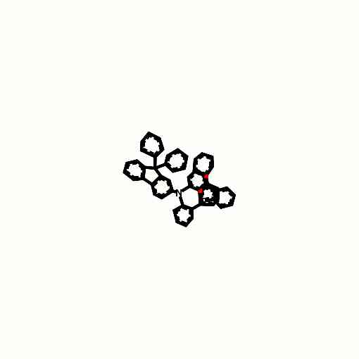 c1ccc(-c2cccc(-c3ccccc3N(c3ccc4c(c3)C(c3ccccc3)(c3ccccc3)c3ccccc3-4)c3cccc4c3sc3ccccc34)c2)cc1